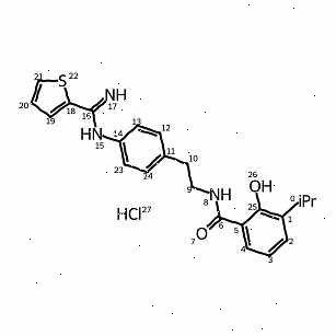 CC(C)c1cccc(C(=O)NCCc2ccc(NC(=N)c3cccs3)cc2)c1O.Cl